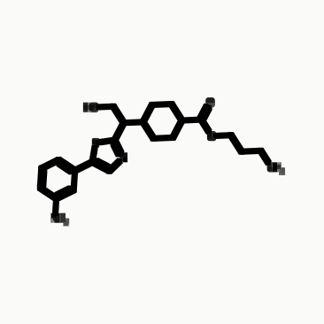 CCCCOC(=O)C1CCC(C(CO)c2ncc(-c3cccc(N)c3)s2)CC1